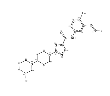 C/N=C/c1cc(NC(=O)c2cnc(N3CCC(N4CCC[C@@H](C)C4)CC3)s2)ccc1F